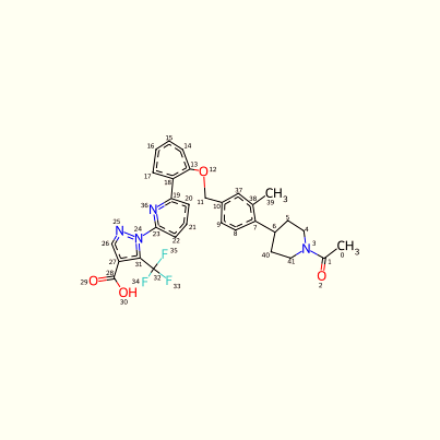 CC(=O)N1CCC(c2ccc(COc3ccccc3-c3cccc(-n4ncc(C(=O)O)c4C(F)(F)F)n3)cc2C)CC1